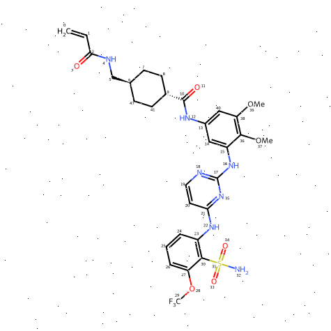 C=CC(=O)NC[C@H]1CC[C@H](C(=O)Nc2cc(Nc3nccc(Nc4cccc(OC(F)(F)F)c4S(N)(=O)=O)n3)c(OC)c(OC)c2)CC1